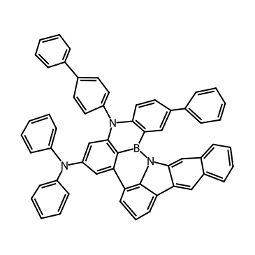 c1ccc(-c2ccc(N3c4ccc(-c5ccccc5)cc4B4c5c(cc(N(c6ccccc6)c6ccccc6)cc53)-c3cccc5c6cc7ccccc7cc6n4c35)cc2)cc1